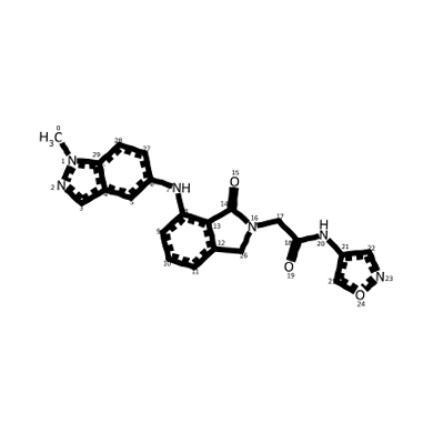 Cn1ncc2cc(Nc3cccc4c3C(=O)N(CC(=O)Nc3cnoc3)C4)ccc21